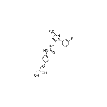 O=C(NCc1cc(C(F)(F)F)nn1-c1cccc(F)c1)Nc1ccc(OCC(O)CO)cc1